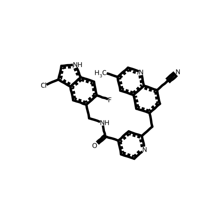 Cc1cnc2c(C#N)cc(Cc3cc(C(=O)NCc4cc5c(Cl)c[nH]c5cc4F)ccn3)cc2c1